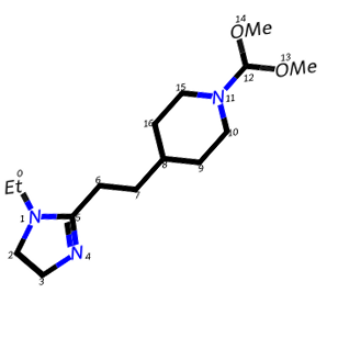 CCN1CCN=C1CCC1CCN(C(OC)OC)CC1